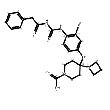 O=C(Cc1ccccc1)NC(=S)Nc1ccc(OC2(N3CCC3)CCN(C(=O)O)CC2)cc1F